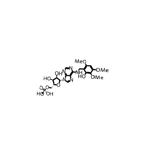 COc1cc(OC)c(OC)c(O)c1CNc1ncnc2c1ncn2[C@@H]1O[C@H](COP(=O)(O)O)[C@@H](O)[C@H]1O